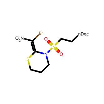 CCCCCCCCCCCCS(=O)(=O)N1CCCS/C1=C(/Br)[N+](=O)[O-]